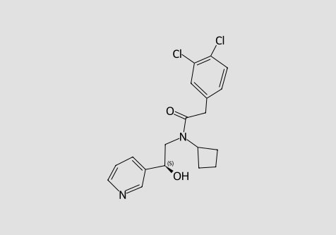 O=C(Cc1ccc(Cl)c(Cl)c1)N(C[C@@H](O)c1cccnc1)C1CCC1